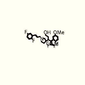 COc1ccc2ncc(F)c(C(CCO)C3(C(=O)O)CCN(CC=Cc4cc(F)ccc4F)C3)c2c1